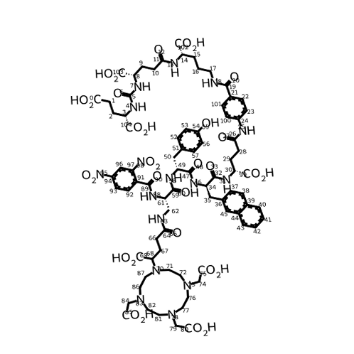 O=C(O)CC[C@H](NC(=O)N[C@@H](CCC(=O)N[C@@H](CCCNC(=O)c1ccc(NC(=O)CC[C@@H](NC(=O)[C@@H](Cc2ccc3ccccc3c2)NC(=O)[C@@H](Cc2ccc(O)cc2)NC(=O)[C@H](CNC(=O)CCC(C(=O)O)N2CCN(CC(=O)O)CCN(CC(=O)O)CCN(CC(=O)O)CC2)NC(=O)c2ccc([N+](=O)[O-])cc2[N+](=O)[O-])C(=O)O)cc1)C(=O)O)C(=O)O)C(=O)O